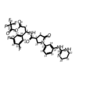 O=C(CC(NC(=O)C1CC(=O)N(c2cccc(NC3=NCCCN3)c2)C1)c1cc(F)cc(F)c1)OC(=O)C(F)(F)F